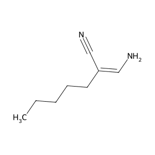 CCCCCC(C#N)=CN